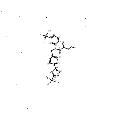 CCCC(=O)NC(Cc1ccc(-c2noc(C(F)(F)F)n2)cn1)c1cccc(C(F)(F)F)c1